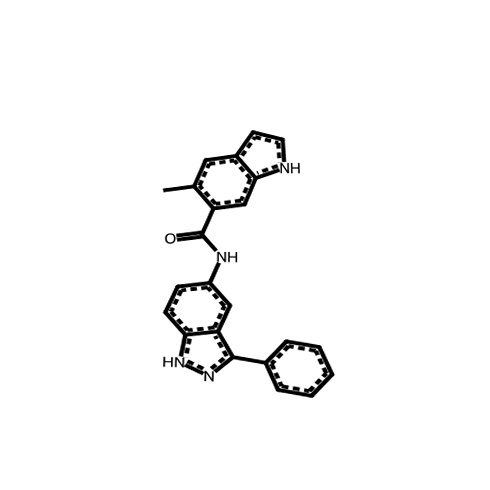 Cc1cc2cc[nH]c2cc1C(=O)Nc1ccc2[nH]nc(-c3ccccc3)c2c1